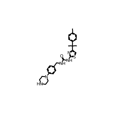 Cc1ccc(C(C)(C)c2csc(NC(=O)NCc3ccc(N4CCNCC4)cc3)n2)cc1